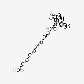 COc1cc2c(cc1OC)[C@@H]1/C(=N/OCC(=O)NCCOCCOCCOCCOCCOCCOCCOCCOCCC(=O)O)c3ccc4c(c3O[C@@H]1CO2)C[C@H](C(C)C)O4